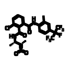 Cc1cc(C(F)(C(F)(F)F)C(F)(F)F)ccc1NC(=O)c1cccc(Cl)c1C(=O)N[C@@H](C)[C@H](C)[SH](=O)=O